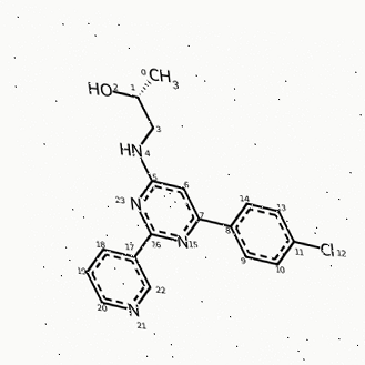 C[C@@H](O)CNc1cc(-c2ccc(Cl)cc2)nc(-c2cccnc2)n1